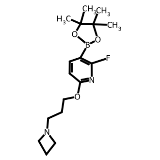 CC1(C)OB(c2ccc(OCCCN3CCC3)nc2F)OC1(C)C